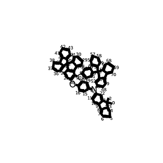 CC1(C)c2ccccc2-c2ccc(N(c3ccc4c(c3)Oc3c(ccc5c3-c3ccccc3C53c5ccccc5-c5ccccc53)O4)c3ccc4c(c3)C(c3ccccc3)(c3ccccc3)c3ccccc3-4)cc21